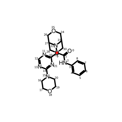 O=C(Nc1ccccc1)N(c1ncnc(N2CCOCC2)n1)N1C2COCC1COC2